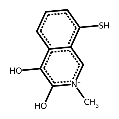 C[n+]1cc2c(S)cccc2c(O)c1O